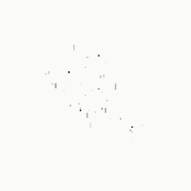 C=C(C)CCN1CC[C@]2(c3cc(O)ccc3C)C[C@]3(CC[C@@]2(O)[C@H]1C)NC(=O)NC3=O